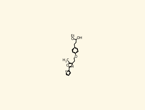 CCOC(O)CCc1ccc(OCCc2nc(-c3cccs3)oc2C)cc1